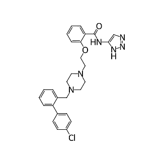 O=C(Nc1cnn[nH]1)c1ccccc1OCCN1CCN(Cc2ccccc2-c2ccc(Cl)cc2)CC1